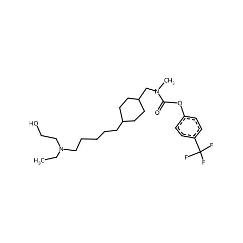 CCN(CCO)CCCCCC1CCC(CN(C)C(=O)Oc2ccc(C(F)(F)F)cc2)CC1